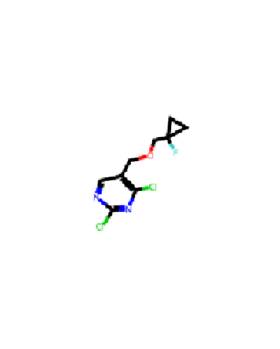 FC1(COCc2cnc(Cl)nc2Cl)CC1